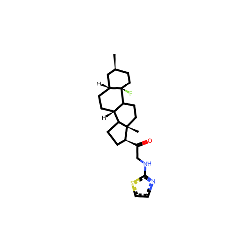 C[C@H]1CC[C@]2(F)C3CC[C@@]4(C)C(CC[C@@H]4C(=O)CNc4nccs4)[C@@H]3CC[C@@H]2C1